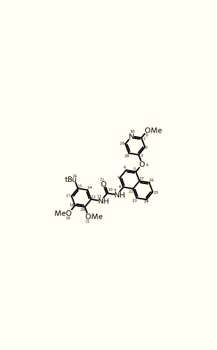 COc1cc(Oc2ccc(NC(=O)Nc3cc(C(C)(C)C)cc(OC)c3OC)c3ccccc23)ccn1